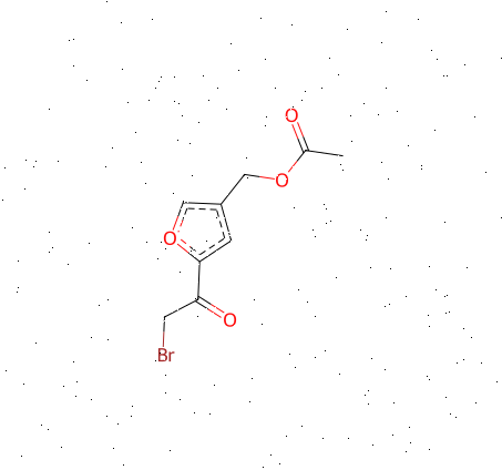 CC(=O)OCc1coc(C(=O)CBr)c1